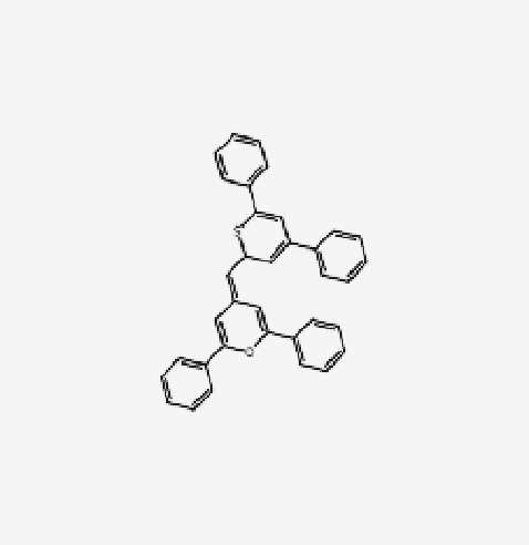 C(=C1C=C(c2ccccc2)OC(c2ccccc2)=C1)C1C=C(c2ccccc2)C=C(c2ccccc2)S1